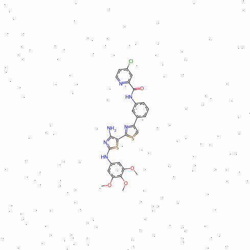 COc1cc(Nc2nc(N)c(-c3nc(-c4cccc(NC(=O)c5cc(Cl)ccn5)c4)cs3)s2)cc(OC)c1OC